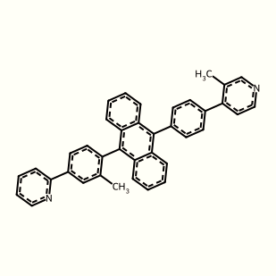 Cc1cnccc1-c1ccc(-c2c3ccccc3c(-c3ccc(-c4ccccn4)cc3C)c3ccccc23)cc1